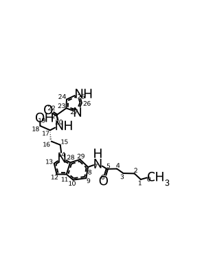 CCCCCC(=O)Nc1ccc2ccn(CC[C@H](CO)NC(=O)c3c[nH]cn3)c2c1